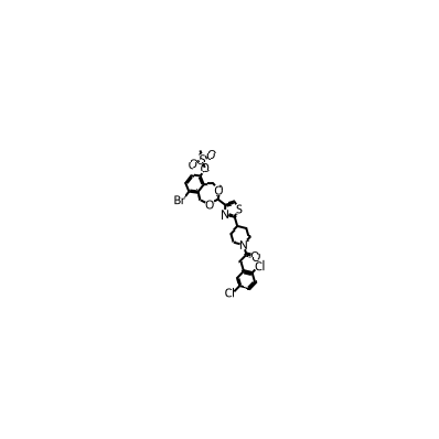 CS(=O)(=O)Oc1ccc(Br)c2c1COC(c1csc(C3CCN(C(=O)Cc4cc(Cl)ccc4Cl)CC3)n1)OC2